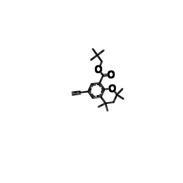 C#Cc1cc(C(=O)OCC(C)(C)C)c2c(c1)C(C)(C)CC(C)(C)O2